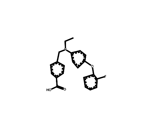 CCN(Cc1ccc(C(=O)O)cc1)c1ccc(Oc2ccccc2F)cc1